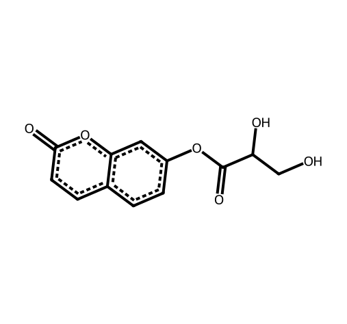 O=C(Oc1ccc2ccc(=O)oc2c1)C(O)CO